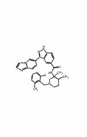 Cc1cccc(F)c1CN1CCC(C)C(C)(NC(=O)c2ccc3[nH]nc(-c4ccc5nccn5c4)c3c2)C1